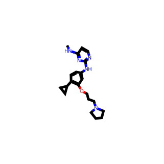 CNc1ccnc(Nc2ccc(C3CC3)c(OCCCN3CCCC3)c2)n1